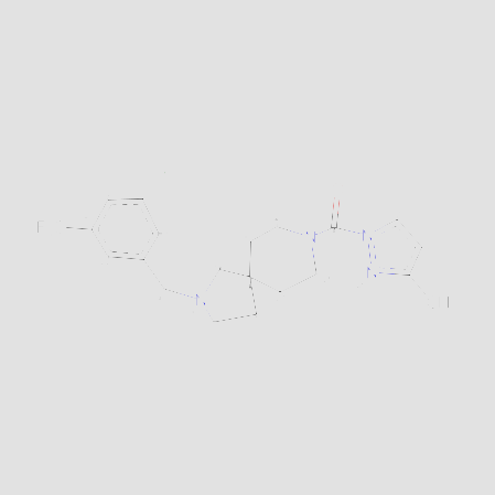 Cc1ccn(C(=O)N2CCC3(CCN(Cc4cc(Cl)cc(C(F)(F)F)c4)C3)CC2)n1